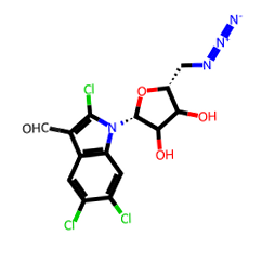 [N-]=[N+]=NC[C@H]1O[C@@H](n2c(Cl)c(C=O)c3cc(Cl)c(Cl)cc32)C(O)C1O